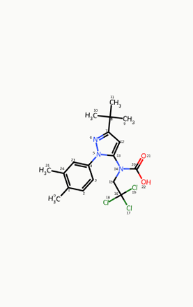 Cc1ccc(-n2nc(C(C)(C)C)cc2N(CC(Cl)(Cl)Cl)C(=O)O)cc1C